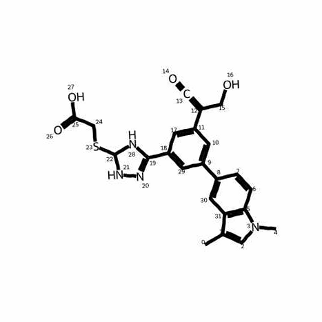 Cc1cn(C)c2ccc(-c3cc(C(=C=O)CO)cc(C4=NNC(SCC(=O)O)N4)c3)cc12